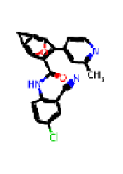 Cc1cc(-c2c(C(=O)Nc3ccc(Cl)cc3C#N)c3oc2c2c3C2)ccn1